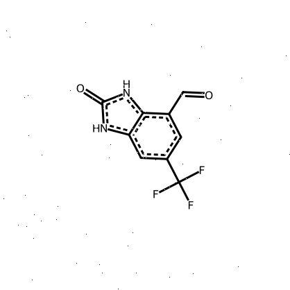 O=Cc1cc(C(F)(F)F)cc2[nH]c(=O)[nH]c12